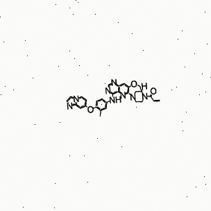 C=CC(=O)N1CCN2C[C@H]1COc1cc3ncnc(Nc4ccc(Oc5ccn6ccnc6c5)c(C)c4)c3nc12